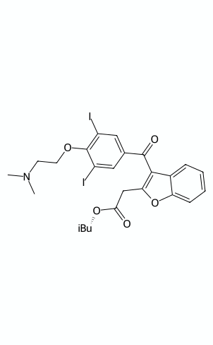 CC[C@@H](C)OC(=O)Cc1oc2ccccc2c1C(=O)c1cc(I)c(OCCN(C)C)c(I)c1